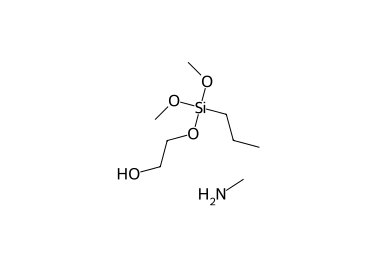 CCC[Si](OC)(OC)OCCO.CN